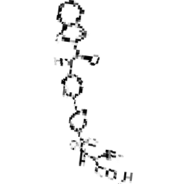 CC(C)[C@H](NS(=O)(=O)c1ccc(-c2ccc(NC(=O)c3cc4ccccc4o3)cn2)cc1)C(=O)O